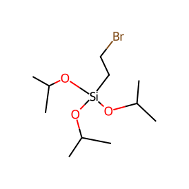 CC(C)O[Si](CCBr)(OC(C)C)OC(C)C